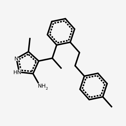 Cc1ccc(CCc2ccccc2C(C)c2c(C)n[nH]c2N)cc1